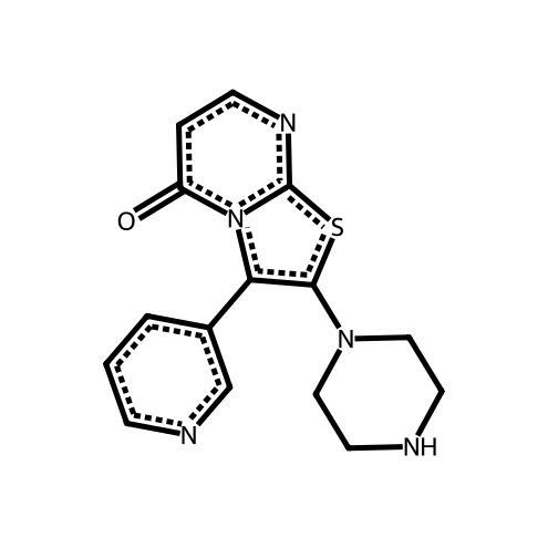 O=c1ccnc2sc(N3CCNCC3)c(-c3cccnc3)n12